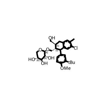 COc1ccc(C2c3cc(Cl)c(C)cc3C[C@H](CO)[C@H]2CO[C@@H]2OC[C@@H](O)[C@H](O)[C@H]2O)cc1C(C)(C)C